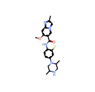 COc1cc2nc(C)cn2cc1C(=O)Nc1ccc(N2CC(C)NCC2C)cc1F